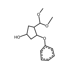 COC(OC)C1CC(O)CC1Oc1ccccc1